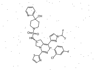 O=S(=O)(N[C@H]1CC2=C(c3ccn(C(F)F)n3)[C@H](c3ccc(F)cc3Cl)N=C(c3nccs3)N2C1)N1CCC(O)(c2ccccn2)CC1